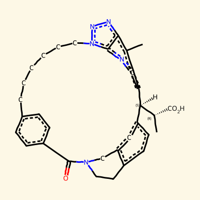 Cc1c2cnc3c1nnn3CCCCCCc1ccc(cc1)C(=O)N1CCc3ccc(cc3C1)[C@@H]2[C@@H](C)C(=O)O